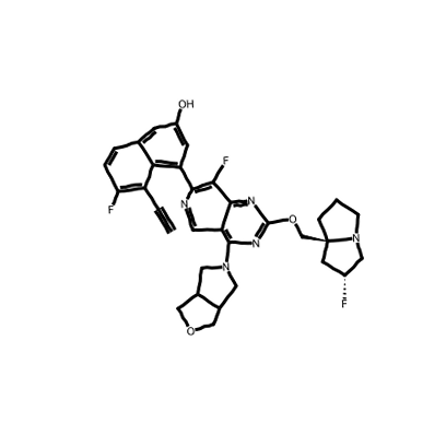 C#Cc1c(F)ccc2cc(O)cc(-c3ncc4c(N5CC6COCC6C5)nc(OC[C@@]56CCCN5C[C@H](F)C6)nc4c3F)c12